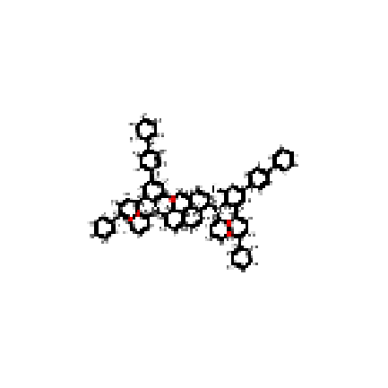 Fc1cc(-c2ccc(-c3ccccc3)cc2)cc(-c2ccc(-c3ccccc3)cc2)c1N(c1ccccc1)c1ccc2ccc3c(N(c4ccccc4)c4c(F)cc(-c5ccc(-c6ccccc6)cc5)cc4-c4ccc(-c5ccccc5)cc4)ccc4ccc1c2c43